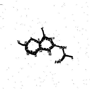 CC(=N)Nc1nc(C)c2cc(C)ccc2n1